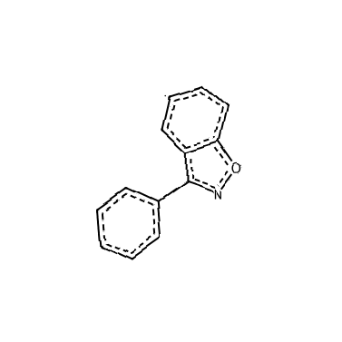 [c]1ccc2onc(-c3ccccc3)c2c1